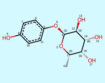 C[C@@H]1O[C@@H](Oc2ccc(O)cc2)[C@@H](O)[C@H](O)[C@@H]1O